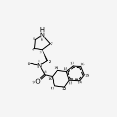 CN(C[C@H]1CCNC1)C(=O)C1CCc2ccccc2C1